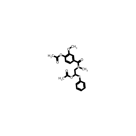 COc1cc(C(=O)N(C)CC(OC(C)=O)Sc2ccccc2)ccc1OC(C)=O